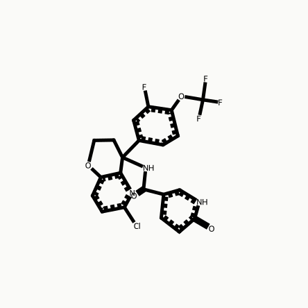 O=C(NC1(c2ccc(OC(F)(F)F)c(F)c2)CCOc2ccc(Cl)nc21)c1ccc(=O)[nH]c1